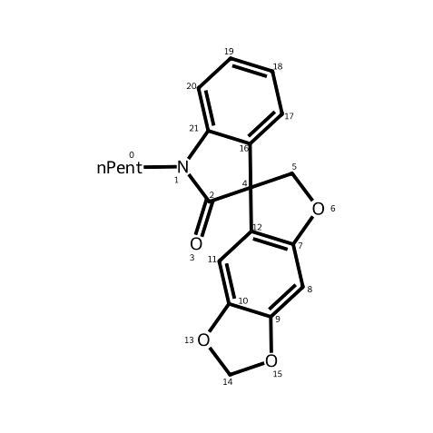 CCCCCN1C(=O)C2(COc3cc4c(cc32)OCO4)c2ccccc21